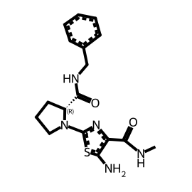 CNC(=O)c1nc(N2CCC[C@@H]2C(=O)NCc2ccccc2)sc1N